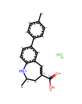 Cc1ccc(-c2ccc3c(c2)C=C(C(=O)O)CC(C)N3)cc1.Cl